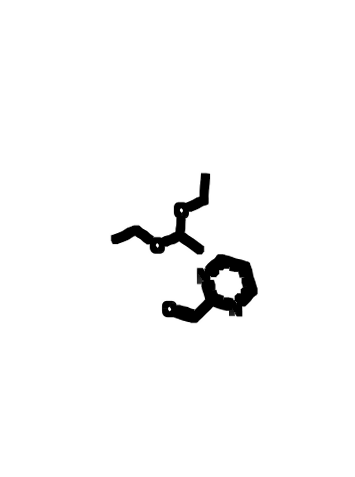 CCOC(C)OCC.O=Cc1ncccn1